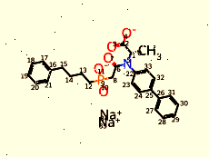 C[C@@H](C(=O)[O-])N(C(=O)CP(=O)([O-])CCCCc1ccccc1)c1ccc(-c2ccccc2)cc1.[Na+].[Na+]